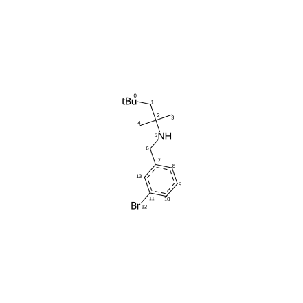 CC(C)(C)CC(C)(C)NCc1cccc(Br)c1